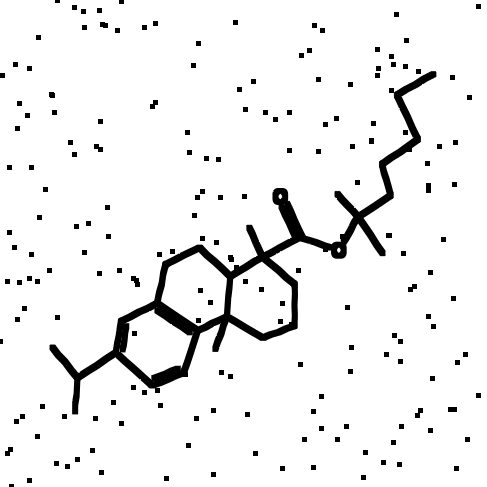 CCCCCC(C)(C)OC(=O)C1(C)CCCC2(C)c3ccc(C(C)C)cc3CCC12